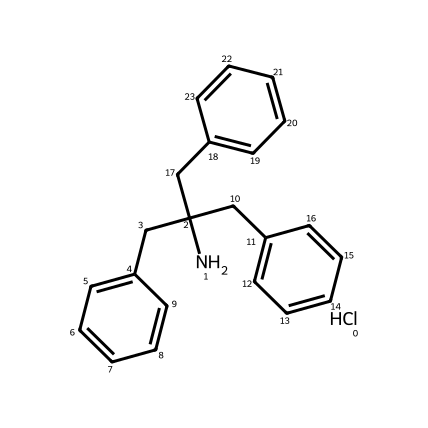 Cl.NC(Cc1ccccc1)(Cc1ccccc1)Cc1ccccc1